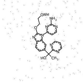 COCCOc1nc2ccc(C(C)(O)c3ncccn3)cc2n1-c1ccnc(N)n1